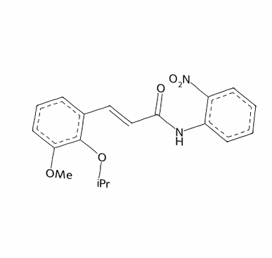 COc1cccc(C=CC(=O)Nc2ccccc2[N+](=O)[O-])c1OC(C)C